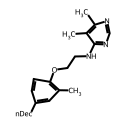 CCCCCCCCCCc1ccc(OCCNc2ncnc(C)c2C)c(C)c1